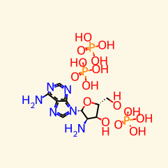 Nc1ncnc2c1ncn2[C@@H]1O[C@H](CO)[C@@H](O)[C@H]1N.O=P(O)(O)O.O=P(O)(O)O.O=P(O)(O)O